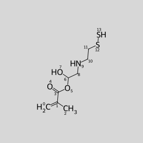 C=C(C)C(=O)OC(O)CNCCSS